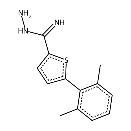 Cc1cccc(C)c1-c1ccc(C(=N)NN)s1